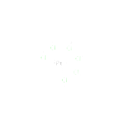 [Cl][2Pt]([Cl])([Cl])([Cl])([Cl])[Cl]